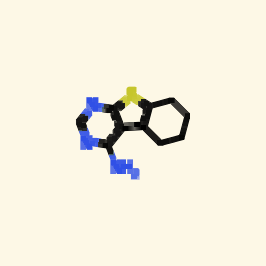 Nc1ncnc2sc3c(c12)CCCC3